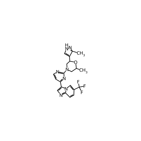 Cc1n[nH]cc1C1CN(c2nccc(-c3cnc4ccc(C(F)(F)F)cn34)n2)CC(C)O1